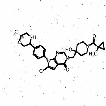 C[C@@H]1CNC(c2ccc(-n3c(Cl)cc4c(=O)n(CC5(O)CCN(C(=O)C6(C)CC6)CC5)cnc43)cc2)CO1